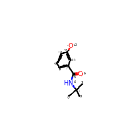 CC(C)(C)NC(=O)c1cccc([O])c1